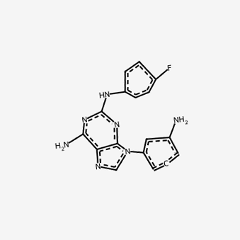 Nc1cccc(-n2cnc3c(N)nc(Nc4ccc(F)cc4)nc32)c1